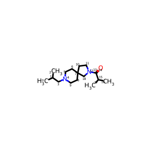 CC(C)CN1CCC2(CC1)CCN(C(=O)C(C)C)C2